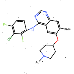 COc1cc2ncnc(Nc3ccc(F)c(Cl)c3F)c2cc1OC1CCN(C(C)=O)CC1